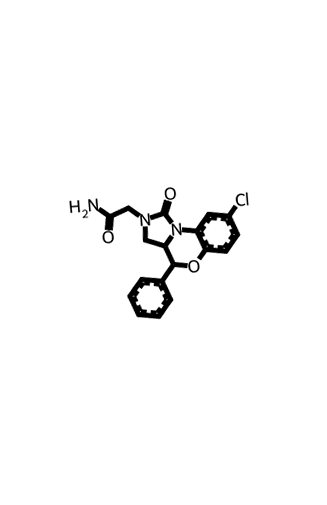 NC(=O)CN1CC2C(c3ccccc3)Oc3ccc(Cl)cc3N2C1=O